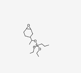 CCC[Si](OCC)(OCC)OC(C)C1CCC2OC2C1